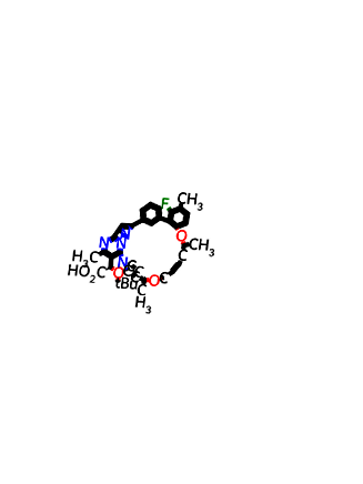 Cc1ccc2c(c1F)-c1cccc(c1)-c1cc3nc(C)c([C@H](OC(C)(C)C)C(=O)O)c(n3n1)N1CCC(C)(CC1)OCC=CCC(C)O2